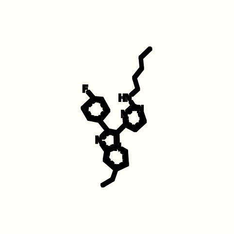 CCCCCNc1nccc(-c2c(-c3ccc(F)cc3)nc3cc(CC)ccn23)n1